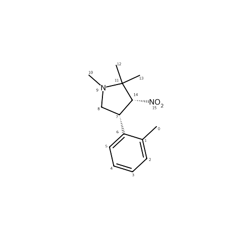 Cc1ccccc1[C@@H]1CN(C)C(C)(C)[C@@H]1[N+](=O)[O-]